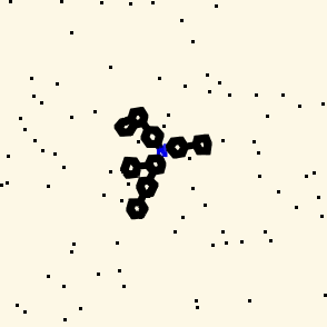 c1ccc(-c2ccc(-c3ccc(N(c4ccc(-c5ccccc5)cc4)c4ccc(-c5cccc6ccccc56)cc4)cc3-c3ccccc3)cc2)cc1